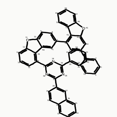 c1ccc(-c2cc(-c3ccc4oc5cccc(-c6nc(-c7ccccc7)nc(-c7ccc8ccccc8c7)n6)c5c4c3)c3c(c2)oc2ccccc23)cc1